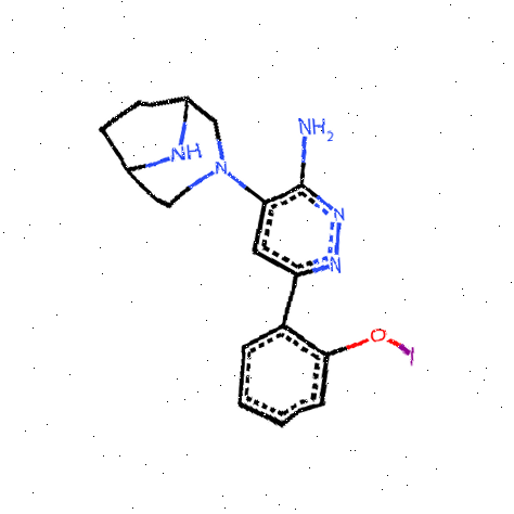 Nc1nnc(-c2ccccc2OI)cc1N1CC2CCC(C1)N2